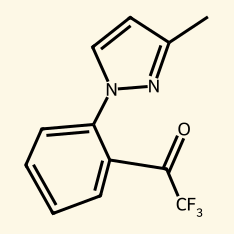 Cc1ccn(-c2ccccc2C(=O)C(F)(F)F)n1